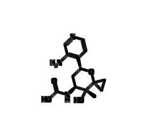 C[C@@]1(O)[C@@H](NC(=O)O)C[C@@H](c2ccncc2N)OC12CC2